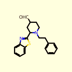 O=CC1CCN(CCc2ccccc2)C(c2nc3ccccc3s2)C1